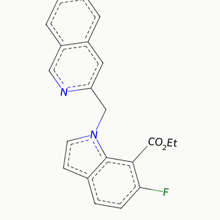 CCOC(=O)c1c(F)ccc2ccn(Cc3cc4ccccc4cn3)c12